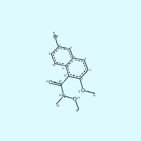 COc1ccc2cc(Br)ccc2c1C(=O)N(C)OC